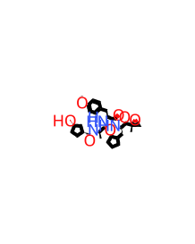 COc1ccc(C[C@H](NC(=O)[C@@H](C)NC(=O)[C@@H]2CC[C@H](O)C2)C(=O)N[C@@H](CC2CCCC2)C(=O)[C@@]2(C)CO2)cc1